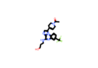 CC(=O)N1CC=C(c2cnc3c(NCCCO)nc4cc(C(F)(F)F)ccc4n23)CC1